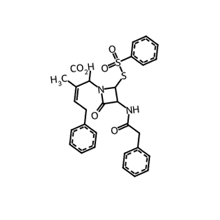 CC(=CCc1ccccc1)C(C(=O)O)N1C(=O)C(NC(=O)Cc2ccccc2)C1SS(=O)(=O)c1ccccc1